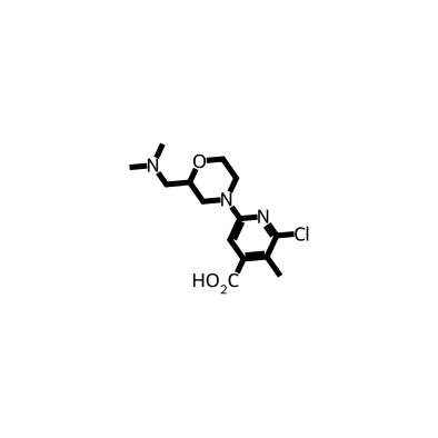 Cc1c(C(=O)O)cc(N2CCOC(CN(C)C)C2)nc1Cl